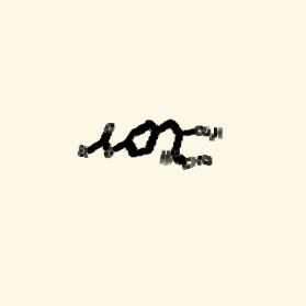 CCC(=O)Oc1ccc(C[C@H](NC=O)C(=O)O)cc1